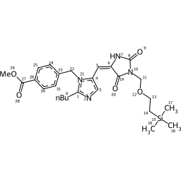 CCCCc1ncc(C=C2NC(=O)N(COCC[Si](C)(C)C)C2=O)n1Cc1ccc(C(=O)OC)cc1